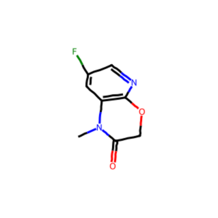 CN1C(=O)COc2ncc(F)cc21